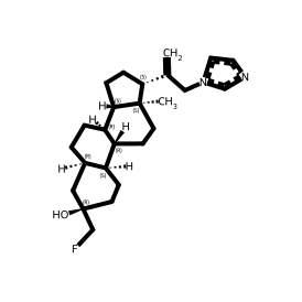 C=C(Cn1ccnc1)[C@H]1CC[C@H]2[C@@H]3CC[C@@H]4C[C@@](O)(CF)CC[C@@H]4[C@H]3CC[C@]12C